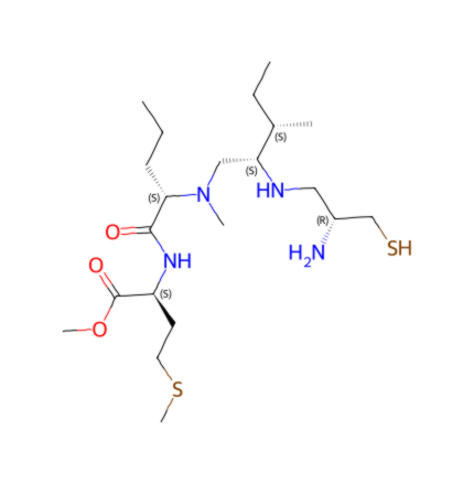 CCC[C@@H](C(=O)N[C@@H](CCSC)C(=O)OC)N(C)C[C@@H](NC[C@@H](N)CS)[C@@H](C)CC